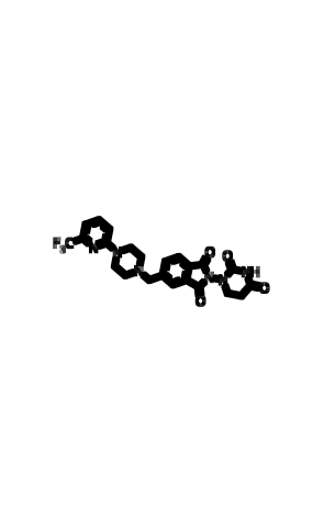 O=C1CCN(N2C(=O)c3ccc(CN4CCN(c5cccc(C(F)(F)F)n5)CC4)cc3C2=O)C(=O)N1